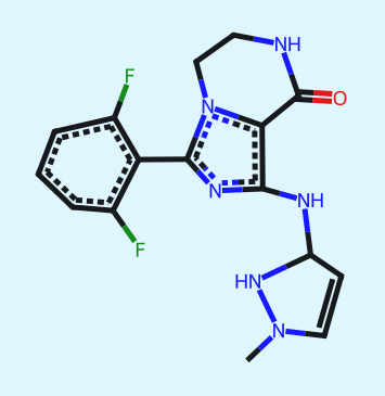 CN1C=CC(Nc2nc(-c3c(F)cccc3F)n3c2C(=O)NCC3)N1